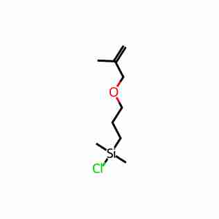 C=C(C)COCCC[Si](C)(C)Cl